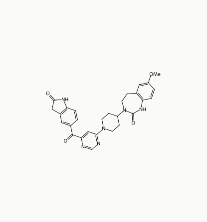 COc1ccc2c(c1)CCN(C1CCN(c3cc(C(=O)c4ccc5c(c4)CC(=O)N5)ncn3)CC1)C(=O)N2